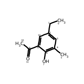 CCc1cc(C)c(O)c(C(C)=O)c1